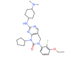 CCOc1cccc(N2Cc3cnc(NC4CCC(N(C)C)CC4)nc3N(C3CCCC3)C2=O)c1F